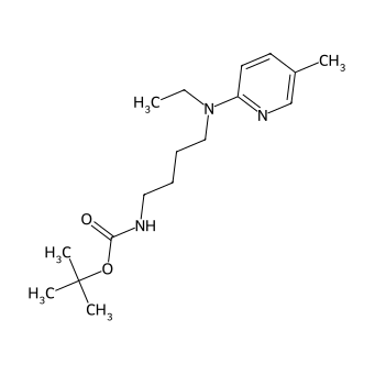 CCN(CCCCNC(=O)OC(C)(C)C)c1ccc(C)cn1